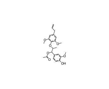 C=CCc1cc(OC)c(OC(C)C(OC(C)=O)c2ccc(O)c(OC)c2)c(OC)c1